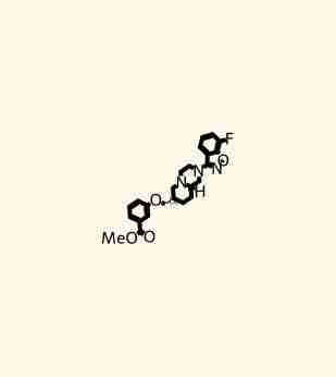 COC(=O)c1cccc(OC[C@H]2CC[C@H]3CN(c4noc5c(F)cccc45)CCN3C2)c1